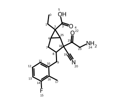 CCC1(C(=O)O)C2CC(Cc3cccc(F)c3C)C(C#N)(C(=O)CN)C21